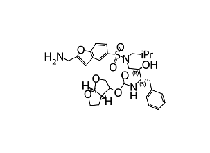 CC(C)CN(C[C@@H](O)[C@H](Cc1ccccc1)NC(=O)OC1CO[C@H]2OCC[C@@H]12)S(=O)(=O)c1ccc2oc(CN)cc2c1